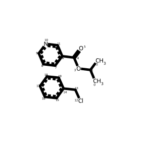 CC(C)OC(=O)c1cccnc1.ClCc1ccccc1